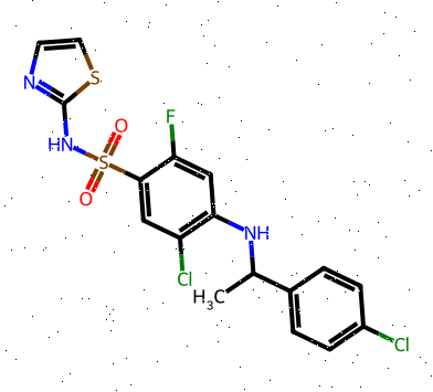 CC(Nc1cc(F)c(S(=O)(=O)Nc2nccs2)cc1Cl)c1ccc(Cl)cc1